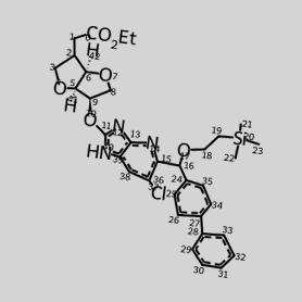 CCOC(=O)CC1CO[C@H]2[C@@H]1OC[C@H]2Oc1nc2nc(C(OCC[Si](C)(C)C)c3ccc(-c4ccccc4)cc3)c(Cl)cc2[nH]1